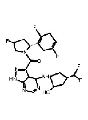 O=C(C1=NNC2=NC=NC(N[C@@H]3C[C@@H](C(F)F)C[C@H]3O)C21)N1C[C@@H](F)C[C@@H]1C1=C(F)CC=C(F)C1